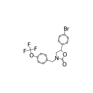 O=C1OC(c2ccc(Br)cc2)CN1Cc1ccc(OC(F)(F)F)cc1